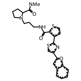 CNC(=O)C1CCCN1CCCNC(=O)c1sccc1-c1nc(-c2cc3ccccc3o2)cs1